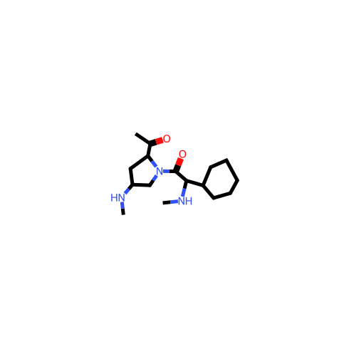 CNC1CC(C(C)=O)N(C(=O)C(NC)C2CCCCC2)C1